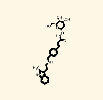 Cc1[nH]c2ccccc2c1CCNCc1ccc(/C=C/C(=O)NO[C@H]2C[C@@H](O)[C@@H](O)[C@@H](CO)O2)cc1